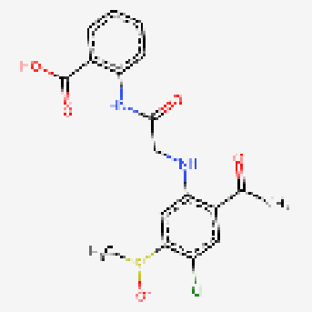 CC(=O)c1cc(Cl)c([S+](C)[O-])cc1NCC(=O)Nc1ccccc1C(=O)O